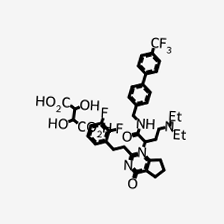 CCN(CC)CCC(C(=O)NCc1ccc(-c2ccc(C(F)(F)F)cc2)cc1)n1c(CCc2cccc(F)c2F)nc(=O)c2c1CCC2.O=C(O)C(O)C(O)C(=O)O